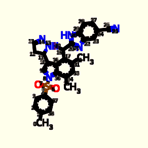 Cc1ccc(S(=O)(=O)n2cc(C3CC=NN3)c3c(C(I)c4nc5cc(C#N)ccc5[nH]4)c(C)cc(C)c32)cc1